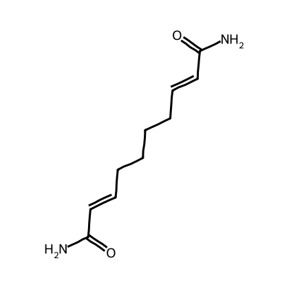 NC(=O)/C=C/CCCC/C=C/C(N)=O